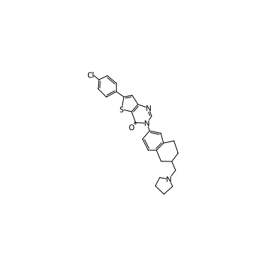 O=c1c2sc(-c3ccc(Cl)cc3)cc2ncn1-c1ccc2c(c1)CCC(CN1CCCC1)C2